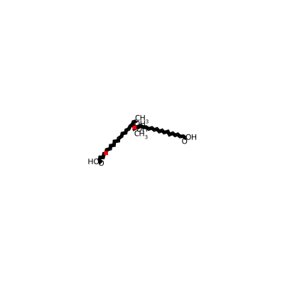 CCCC(CCCCCCCCCCCCCCCCCC(=O)O)C(CC)C(O)(O)CCCCCCCCCCCCCCCCCC(=O)O